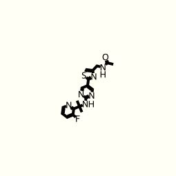 CC(=O)NCc1csc(-c2cnc(NC(C)(C)c3ncccc3F)nc2)n1